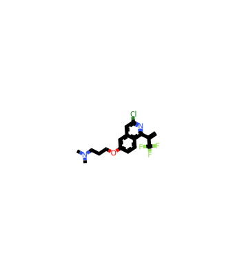 C=C(c1nc(Cl)cc2cc(OCCCN(C)C)ccc12)C(F)(F)F